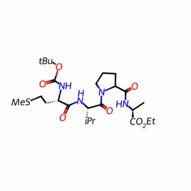 CCOC(=O)[C@H](C)NC(=O)C1CCCN1C(=O)[C@@H](NC(=O)[C@H](CCSC)NC(=O)OC(C)(C)C)C(C)C